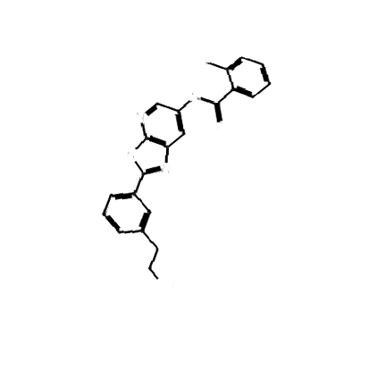 O=C(Nc1cnc2[nH]c(-c3cccc(CCO)c3)nc2c1)c1ccccc1Cl